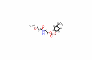 CCCOCCC(=O)NCCOC(=O)Oc1ccc([N+](=O)[O-])cc1